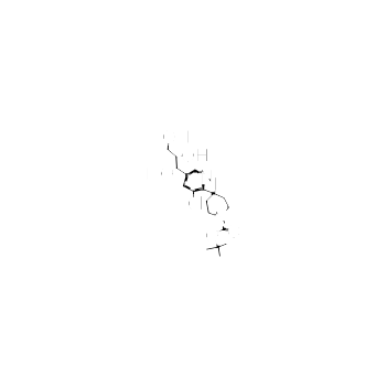 CC(C)(C)OC(=O)N1CCC(F)(c2ncc([C@H](O)[C@@H](O)CO)cc2Cl)CC1